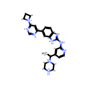 CC(c1ccnc(Nc2nc3ccc(-c4cc(N5CCC5)ncn4)cc3[nH]2)c1)N1CCNCC1